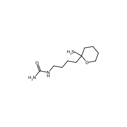 NC(=O)NCCCCC1([SiH3])CCCCO1